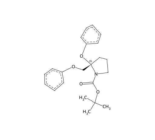 CC(C)(C)OC(=O)N1CCC[C@@]1(COc1ccccc1)Oc1ccccc1